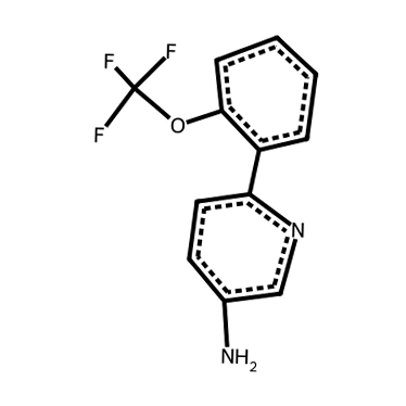 Nc1ccc(-c2ccccc2OC(F)(F)F)nc1